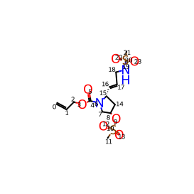 C=CCOC(=O)N1C[C@H](OS(C)(=O)=O)C[C@H]1C=CCNS(C)(=O)=O